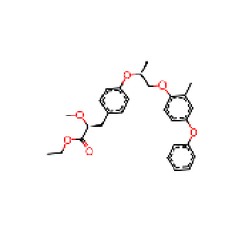 CCOC(=O)[C@H](Cc1ccc(O[C@@H](C)COc2ccc(Oc3ccccc3)cc2C)cc1)OC